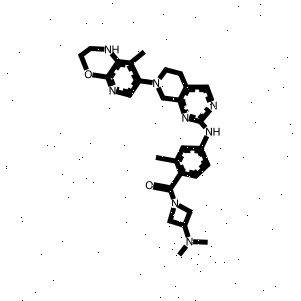 Cc1cc(Nc2ncc3c(n2)CN(c2cnc4c(c2C)NCCO4)CC3)ccc1C(=O)N1CC(N(C)C)C1